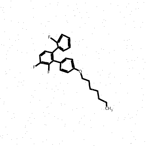 CCCCCCCOc1ccc(-c2c(-c3ccccc3F)ccc(F)c2F)cc1